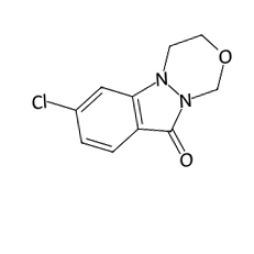 O=c1c2ccc(Cl)cc2n2n1COCC2